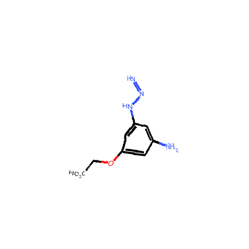 N=NNc1cc(N)cc(OCC(=O)O)c1